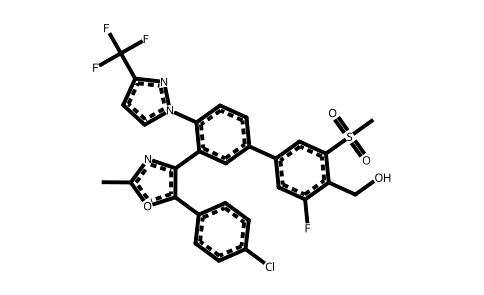 Cc1nc(-c2cc(-c3cc(F)c(CO)c(S(C)(=O)=O)c3)ccc2-n2ccc(C(F)(F)F)n2)c(-c2ccc(Cl)cc2)o1